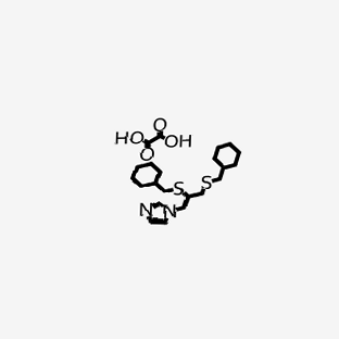 O=C(O)C(=O)O.c1cn(CC(CSCC2CCCCC2)SCC2CCCCC2)cn1